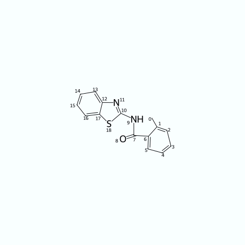 Cc1ccccc1C(=O)Nc1nc2ccccc2s1